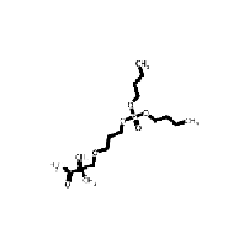 CCCCOP(=O)(OCCCC)OCCCOCC(C)(C)C(C)=O